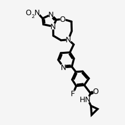 O=C(NC1CC1)c1ccc(-c2cc(CN3CCOc4nc([N+](=O)[O-])cn4CC3)ccn2)cc1F